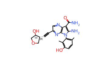 Cc1ccc(O)c(C)c1-n1c(N)c(C(N)=O)c2ncc(C#C[C@@H]3COC[C@H]3O)nc21